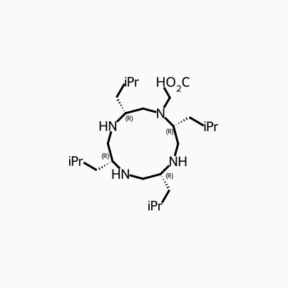 CC(C)C[C@@H]1CN(CC(=O)O)[C@H](CC(C)C)CN[C@H](CC(C)C)CN[C@H](CC(C)C)CN1